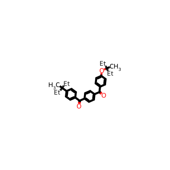 CCC(C)(CC)Oc1ccc(C(=O)c2ccc(C(=O)c3ccc(C(C)(CC)CC)cc3)cc2)cc1